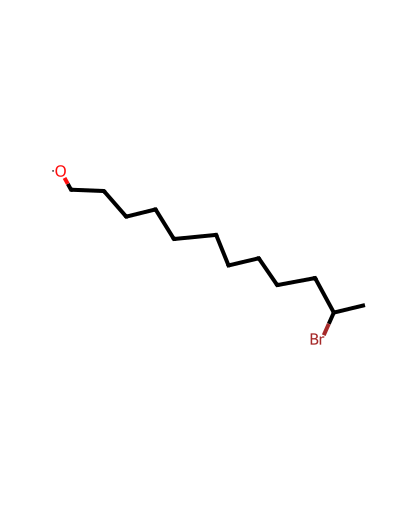 CC(Br)CCCCCCCCCC[O]